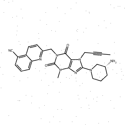 CC#CCn1c(N2CCC[C@@H](N)C2)nc2c1c(=O)n(Cc1ccc3c(C#N)cccc3n1)c(=O)n2C